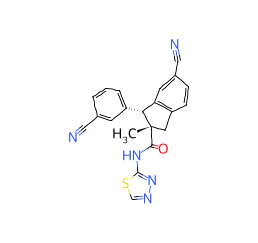 C[C@]1(C(=O)Nc2nncs2)Cc2ccc(C#N)cc2[C@H]1c1cccc(C#N)c1